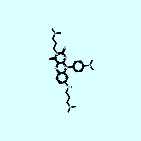 CN(C)CCCNc1ccc2nc3c(=O)n(CCCN(C)C)c(=O)nc-3n(-c3ccc(N(C)C)cc3)c2c1